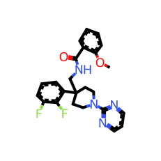 COc1ccccc1C(=O)NCC1(c2cccc(F)c2F)CCN(c2ncccn2)CC1